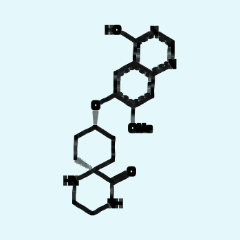 COc1cc2ncnc(O)c2cc1O[C@H]1CC[C@@]2(CC1)NCCNC2=O